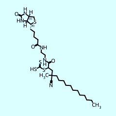 CCCCCCCCCCCCC(C)(C#N)CC(SC(=S)S)C(=O)NCCNC(=O)CCCC[C@H]1SC[C@H]2NC(=O)N[C@H]21